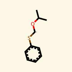 CC(C)O[CH]Sc1ccccc1